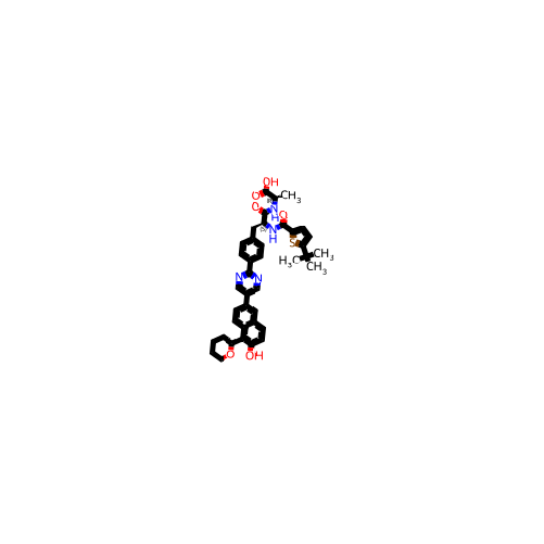 C[C@@H](NC(=O)[C@H](Cc1ccc(-c2ncc(-c3ccc4c(C5CCCCO5)c(O)ccc4c3)cn2)cc1)NC(=O)c1ccc(C(C)(C)C)s1)C(=O)O